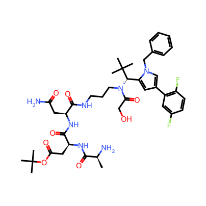 C[C@H](N)C(=O)N[C@@H](CC(=O)OC(C)(C)C)C(=O)N[C@@H](CC(N)=O)C(=O)NCCCN(C(=O)CO)[C@@H](c1cc(-c2cc(F)ccc2F)cn1Cc1ccccc1)C(C)(C)C